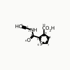 C#CNC(=O)c1sccc1C(=O)O